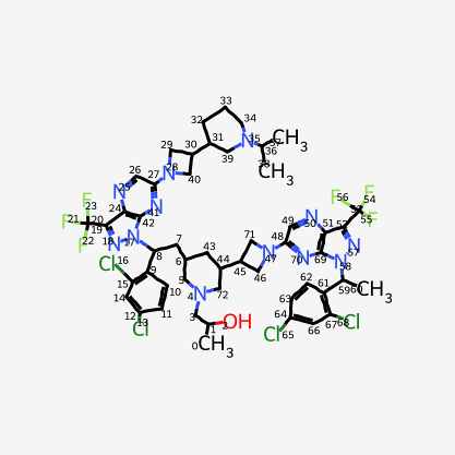 CC(O)CN1CC(CC(c2ccc(Cl)cc2Cl)n2nc(C(F)(F)F)c3ncc(N4CC(C5CCCN(C(C)C)C5)C4)nc32)CC(C2CN(c3cnc4c(C(F)(F)F)nn(C(C)c5ccc(Cl)cc5Cl)c4n3)C2)C1